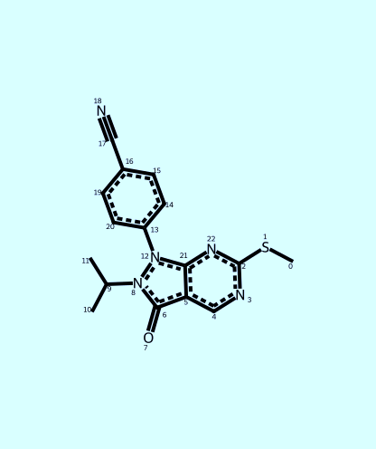 CSc1ncc2c(=O)n(C(C)C)n(-c3ccc(C#N)cc3)c2n1